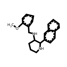 COc1ccccc1CNC1CCCNC1c1ccc2ccccc2c1